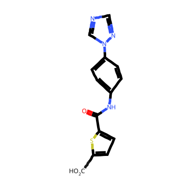 O=C(O)c1ccc(C(=O)Nc2ccc(-n3cncn3)cc2)s1